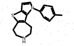 Cc1ccc(-n2ccc3sc4c(c32)CCNCC4)cc1